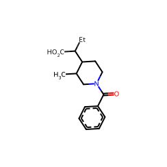 CCC(C(=O)O)C1CCN(C(=O)c2ccccc2)CC1C